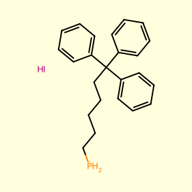 I.PCCCCCC(c1ccccc1)(c1ccccc1)c1ccccc1